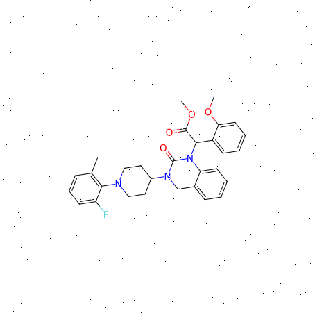 COC(=O)C(c1ccccc1OC)N1C(=O)N(C2CCN(c3c(C)cccc3F)CC2)Cc2ccccc21